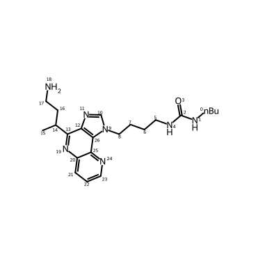 CCCCNC(=O)NCCCCn1cnc2c(C(C)CCN)nc3cccnc3c21